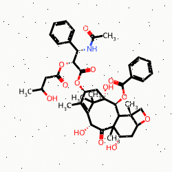 CC(=O)N[C@@H](c1ccccc1)[C@@H](OC(=O)CC(C)O)C(=O)O[C@H]1C[C@@]2(O)[C@@H](OC(=O)c3ccccc3)C3C(C)(C(=O)[C@H](O)C(=C1C)C2(C)C)[C@@H](O)CC1OC[C@]13C